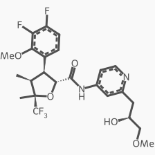 COC[C@@H](O)Cc1cc(NC(=O)[C@@H]2O[C@@](C)(C(F)(F)F)[C@@H](C)[C@H]2c2ccc(F)c(F)c2OC)ccn1